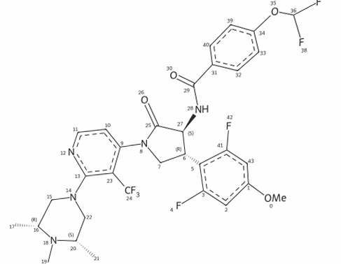 COc1cc(F)c([C@@H]2CN(c3ccnc(N4C[C@@H](C)N(C)[C@@H](C)C4)c3C(F)(F)F)C(=O)[C@H]2NC(=O)c2ccc(OC(F)F)cc2)c(F)c1